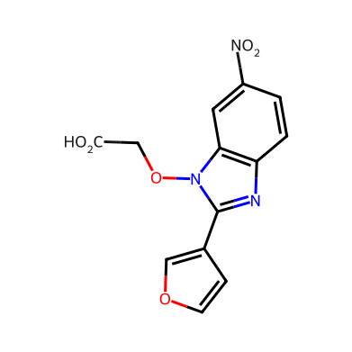 O=C(O)COn1c(-c2ccoc2)nc2ccc([N+](=O)[O-])cc21